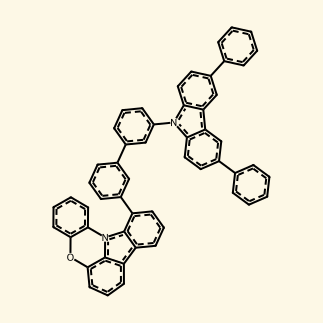 c1ccc(-c2ccc3c(c2)c2cc(-c4ccccc4)ccc2n3-c2cccc(-c3cccc(-c4cccc5c6cccc7c6n(c45)-c4ccccc4O7)c3)c2)cc1